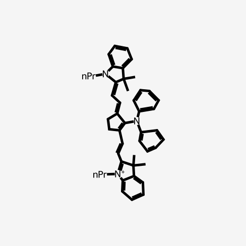 CCCN1/C(=C/C=C2\CCC(/C=C/C3=[N+](CCC)c4ccccc4C3(C)C)=C2N(c2ccccc2)c2ccccc2)C(C)(C)c2ccccc21